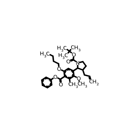 C=CCC1CCN(C(=O)OC(C)(C)C)C1c1cc(OCCCC)c(C(=O)Oc2ccccc2)c(C)c1OC